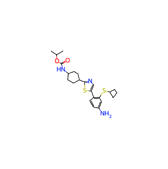 CC(C)OC(=O)NC1CCC(c2ncc(-c3ccc(N)cc3SC3CCC3)s2)CC1